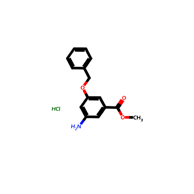 COC(=O)c1cc(N)cc(OCc2ccccc2)c1.Cl